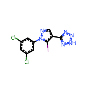 Clc1cc(Cl)cc(-n2ncc(-c3nn[nH]n3)c2I)c1